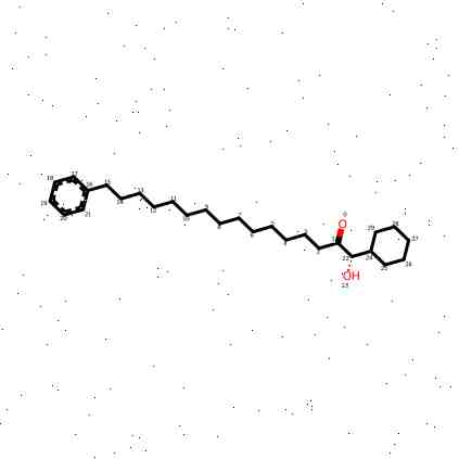 O=C(CCCCCCCCCCCCCCc1ccccc1)[C@@H](O)C1CCCCC1